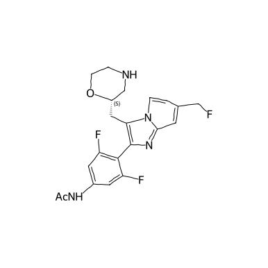 CC(=O)Nc1cc(F)c(-c2nc3cc(CF)ccn3c2C[C@H]2CNCCO2)c(F)c1